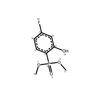 COP(=O)(OC)c1ccc(F)cc1O